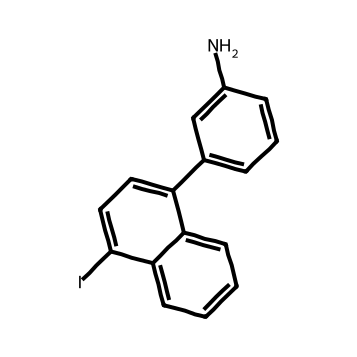 Nc1cccc(-c2ccc(I)c3ccccc23)c1